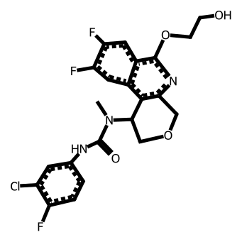 CN(C(=O)Nc1ccc(F)c(Cl)c1)C1COCc2nc(OCCO)c3cc(F)c(F)cc3c21